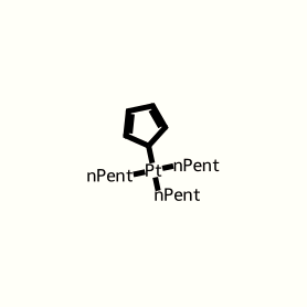 CCCC[CH2][Pt]([CH2]CCCC)([CH2]CCCC)[CH]1C=CC=C1